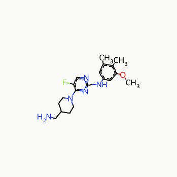 COc1cc(Nc2ncc(F)c(N3CCC(CN)CC3)n2)cc(C)c1C